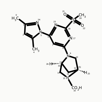 Cc1cc(C)n(-c2cc(N3C[C@@H]4C[C@H]3CN4C(=O)O)nc(S(C)(=O)=O)n2)n1